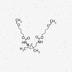 C=COCCCCOC(=O)NCCC(C)(C)CC(C)CNC(=O)OCCCCOC=C